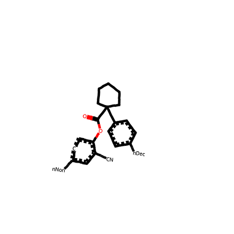 CCCCCCCCCCc1ccc(C2(C(=O)Oc3ccc(CCCCCCCCC)cc3C#N)CCCCC2)cc1